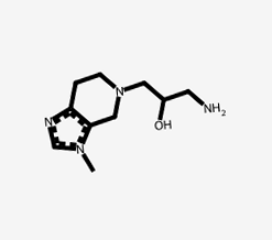 Cn1cnc2c1CN(CC(O)CN)CC2